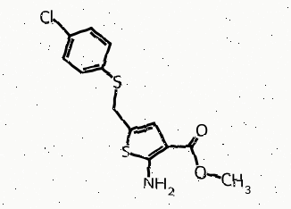 COC(=O)c1cc(CSc2ccc(Cl)cc2)sc1N